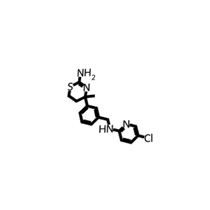 CC1(c2cccc(CNc3ccc(Cl)cn3)c2)CCSC(N)=N1